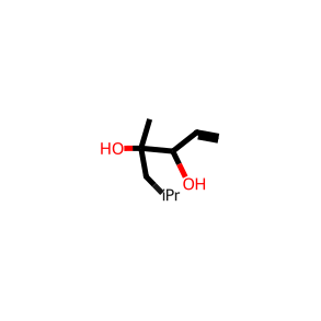 C=CC(O)C(C)(O)CC(C)C